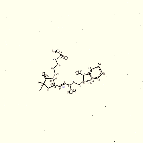 CC1(C)C[C@H](/C=C/C(O)CCC2Sc3ccccc3C2Cl)[C@@H](CCCCC(=O)O)C1=O